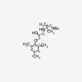 Cc1cc(C)c(OCC(O)CNC(C)(C)CC(C)(C)C)c(C)c1